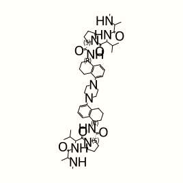 CNC(C)C(=O)NC(C(=O)N1CCC[C@H]1C(=O)N[C@@H]1CCCc2c1cccc2N1CCN(c2cccc3c2CCC[C@H]3NC(=O)[C@@H]2CCCN2C(=O)C(NC(=O)C(C)NC)C(C)C)CC1)C(C)C